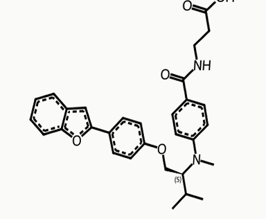 CC(C)[C@@H](COc1ccc(-c2cc3ccccc3o2)cc1)N(C)c1ccc(C(=O)NCCC(=O)O)cc1